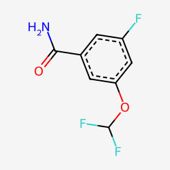 NC(=O)c1cc(F)cc(OC(F)F)c1